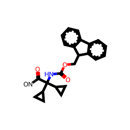 O=NC(=O)C(NC(=O)OCC1c2ccccc2-c2ccccc21)(C1CC1)C1CC1